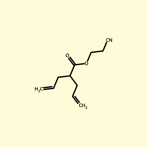 C=CCC(CC=C)C(=O)OCCC#N